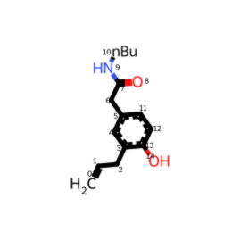 C=CCc1cc(CC(=O)NCCCC)ccc1O